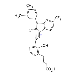 Cc1ccc(N2C(=O)/C(=C\Nc3cccc(CCCC(=O)O)c3O)c3ccc(C(F)(F)F)cc32)cc1C